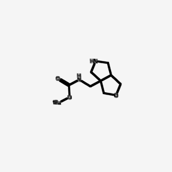 CC(C)(C)OC(=O)NCC12CNCC1COC2